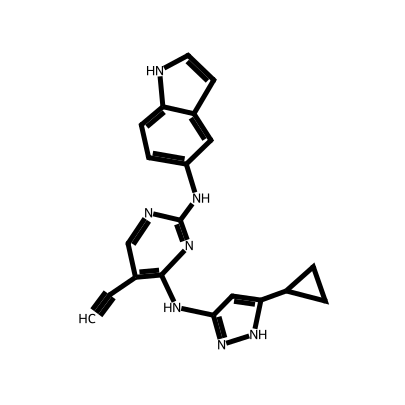 C#Cc1cnc(Nc2ccc3[nH]ccc3c2)nc1Nc1cc(C2CC2)[nH]n1